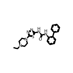 CCN1CCN(c2nnc(NC(=O)Nc3ccccc3-c3ccccc3)s2)CC1